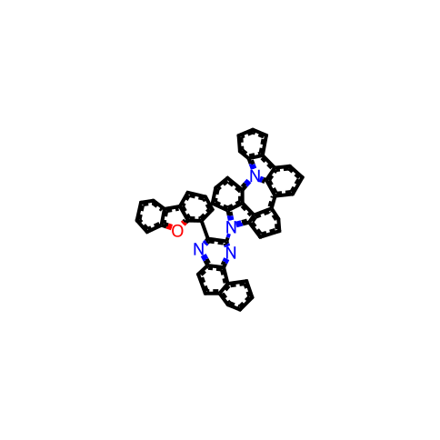 c1ccc2c(c1)ccc1nc(-c3cccc4c3oc3ccccc34)c(-n3c4cccc5c6cccc7c8ccccc8n(c8cccc3c8c54)c67)nc12